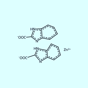 O=C([O-])c1nc2ccccc2[nH]1.O=C([O-])c1nc2ccccc2[nH]1.[Zn+2]